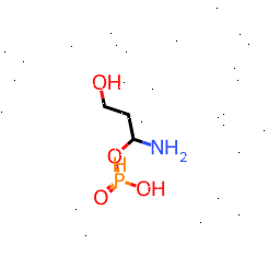 NC(CCO)O[PH](=O)O